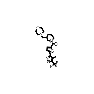 Cc1c(-c2ccc(C(=O)N3CCCC(CN4CCOCC4)C3)s2)noc1C(C)(F)F